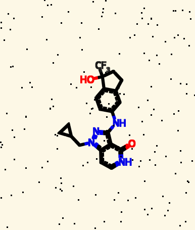 O=c1[nH]ccc2c1c(Nc1ccc3c(c1)CCC3(O)C(F)(F)F)nn2CC1CC1